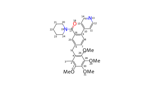 COc1c(C)c(Cc2ccc(-c3ccncc3)c(C(=O)N3CCCCC3)c2)c(OC)c(OC)c1OC